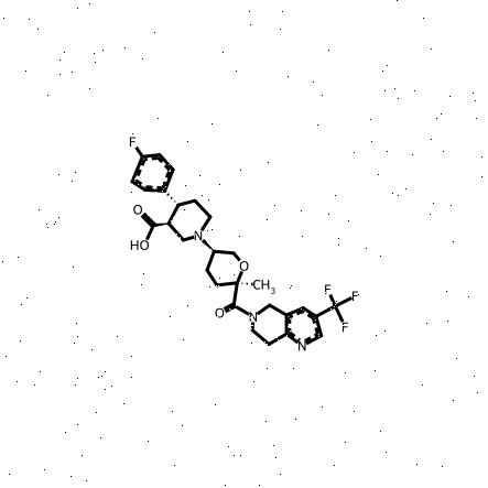 C[C@]1(C(=O)N2CCc3ncc(C(F)(F)F)cc3C2)CC[C@@H](N2CC[C@@H](c3ccc(F)cc3)[C@H](C(=O)O)C2)CO1